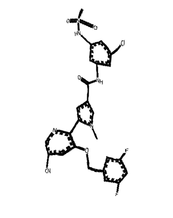 Cn1cc(C(=O)Nc2cc(Cl)cc(NS(C)(=O)=O)c2)cc1-c1ncc(C#N)cc1OCc1cc(F)cc(F)c1